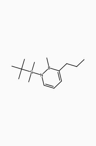 CCCC1=CC=CN([Si](C)(C)C(C)(C)C)B1C